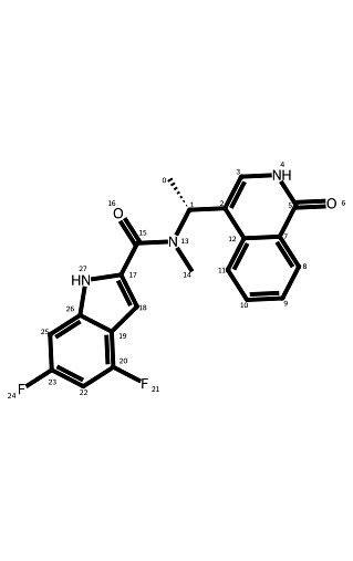 C[C@H](c1c[nH]c(=O)c2ccccc12)N(C)C(=O)c1cc2c(F)cc(F)cc2[nH]1